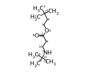 CC(C)(C)CCOC(=O)CCNC(C)(C)C